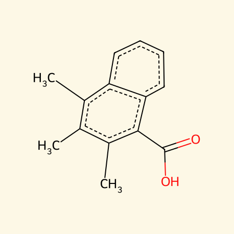 Cc1c(C)c(C(=O)O)c2ccccc2c1C